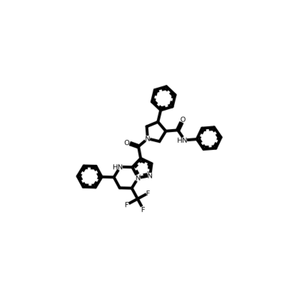 O=C(Nc1ccccc1)C1CN(C(=O)c2cnn3c2NC(c2ccccc2)CC3C(F)(F)F)CC1c1ccccc1